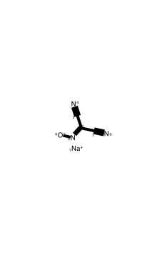 N#CC(C#N)=N[O-].[Na+]